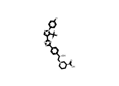 O=C(O)[C@H]1CCCN(C[C@@H](O)c2ccc(-c3noc(-c4cnn(-c5ccc(Cl)cc5)c4C(F)(F)F)n3)cc2)C1